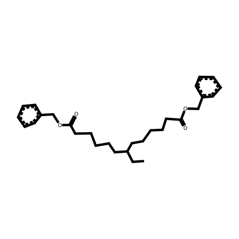 CCC(CCCCCC(=O)OCc1ccccc1)CCCCCC(=O)OCc1ccccc1